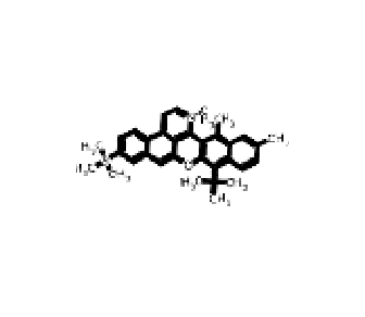 Cc1ccc2c(C(C)(C)C)c3c(c(C)c2c1)-c1c2c(cc4cc([Si](C)(C)C)ccc4c2cc[n+]1C)O3